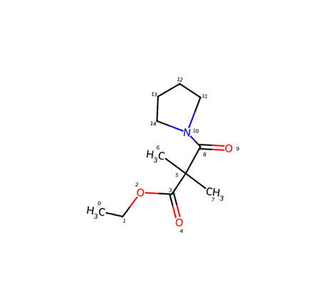 CCOC(=O)C(C)(C)C(=O)N1CCCC1